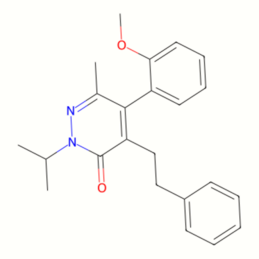 COc1ccccc1-c1c(C)nn(C(C)C)c(=O)c1CCc1ccccc1